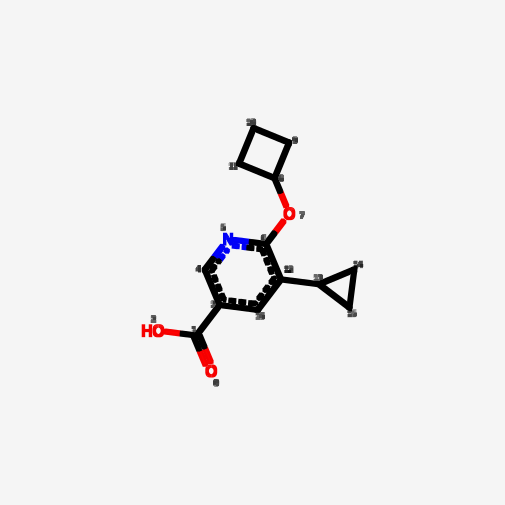 O=C(O)c1cnc(OC2CCC2)c(C2CC2)c1